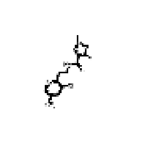 Cn1cc(C(=O)NCCc2ncc(C(F)(F)F)cc2Cl)c(C(F)(F)F)n1